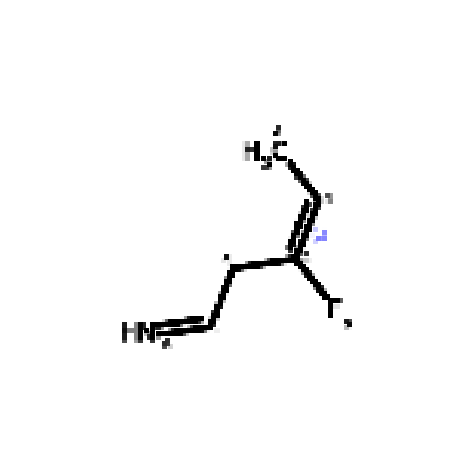 C/C=C(/F)CC=N